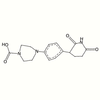 O=C1CCC(c2ccc(N3CCN(C(=O)O)CC3)cc2)C(=O)N1